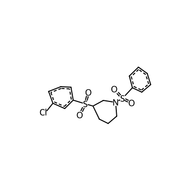 O=S(=O)(c1cccc(Cl)c1)C1CCCN(S(=O)(=O)c2ccccc2)C1